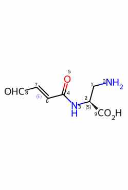 NC[C@H](NC(=O)/C=C/C=O)C(=O)O